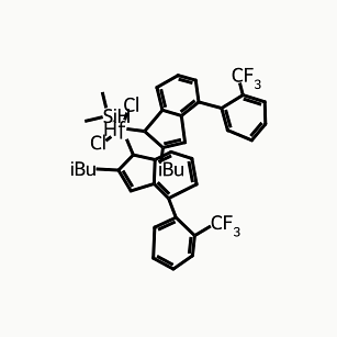 CCC(C)C1=Cc2c(-c3ccccc3C(F)(F)F)cccc2[CH]1[Hf]([Cl])([Cl])([CH]1C(C(C)CC)=Cc2c(-c3ccccc3C(F)(F)F)cccc21)[SiH](C)C